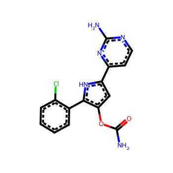 NC(=O)Oc1cc(-c2ccnc(N)n2)[nH]c1-c1ccccc1Cl